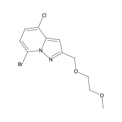 COCCOCc1cc2c(Cl)ccc(Br)n2n1